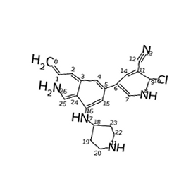 C=C/C=c1/cc(C2=CNC(Cl)C(C#N)=C2)cc(NC2CCNCC2)/c1=C/N